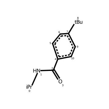 CC(C)NC(=O)c1ccc(C(C)(C)C)cc1